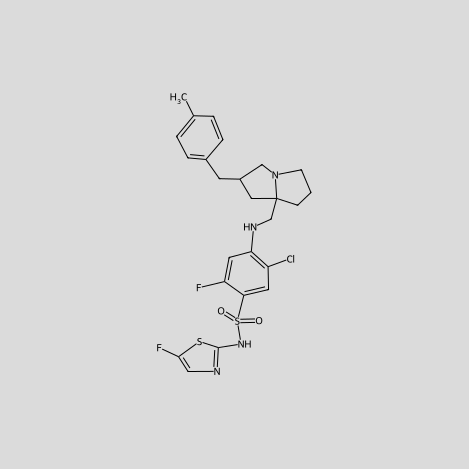 Cc1ccc(CC2CN3CCCC3(CNc3cc(F)c(S(=O)(=O)Nc4ncc(F)s4)cc3Cl)C2)cc1